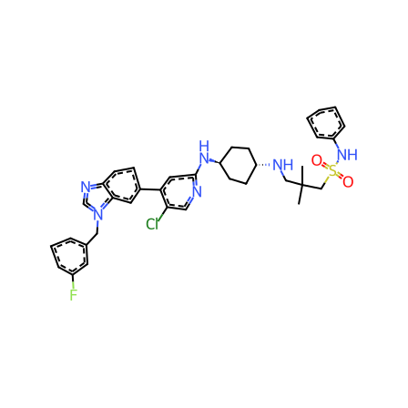 CC(C)(CN[C@H]1CC[C@H](Nc2cc(-c3ccc4ncn(Cc5cccc(F)c5)c4c3)c(Cl)cn2)CC1)CS(=O)(=O)Nc1ccccc1